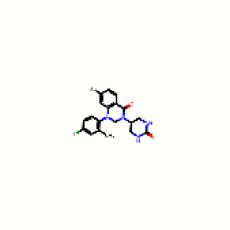 Cc1cc(F)ccc1N1CN(C2CNC(=O)NC2)C(=O)c2ccc(C(F)(F)F)cc21